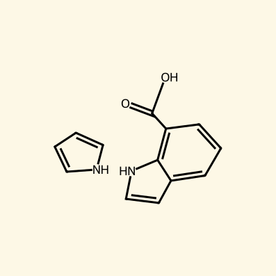 O=C(O)c1cccc2cc[nH]c12.c1cc[nH]c1